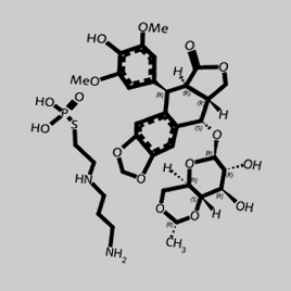 COc1cc([C@@H]2c3cc4c(cc3[C@@H](O[C@@H]3O[C@@H]5CO[C@@H](C)O[C@H]5[C@H](O)[C@H]3O)[C@H]3COC(=O)[C@H]23)OCO4)cc(OC)c1O.NCCCNCCSP(=O)(O)O